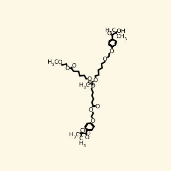 COCCOC(=O)CCCCCO[Si](C)(OCCCCCCOCCOc1ccc(C(=O)C(C)(C)O)cc1)OCCCCCC(=O)OCCOc1ccc(C(=O)C(C)(C)C)cc1